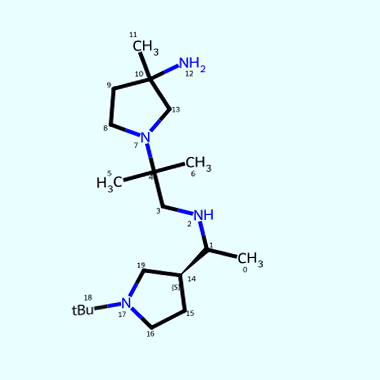 CC(NCC(C)(C)N1CCC(C)(N)C1)[C@H]1CCN(C(C)(C)C)C1